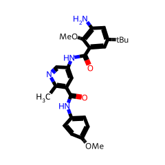 COc1ccc(NC(=O)c2cc(NC(=O)c3cc(C(C)(C)C)cc(N)c3OC)cnc2C)cc1